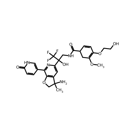 COC1=C(OCCO)C=CC(C(=O)NCC(O)(c2cc3c(c(-c4ccc(=O)[nH]c4)n2)OCC3(C)N)C(F)(F)F)C1